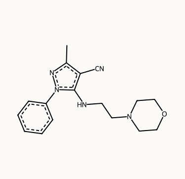 Cc1nn(-c2ccccc2)c(NCCN2CCOCC2)c1C#N